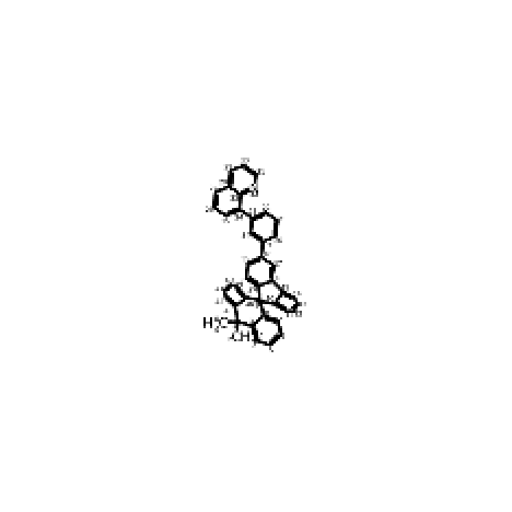 CC1(C)c2ccccc2C2(c3ccccc3-c3cc(-c4cccc(-c5cccc6cccnc56)c4)ccc32)c2ccccc21